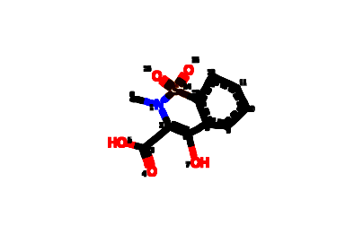 CN1C(C(=O)O)=C(O)c2ccccc2S1(=O)=O